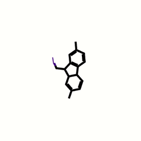 CC1=CC2C(C=C1)c1ccc(C)cc1C2CI